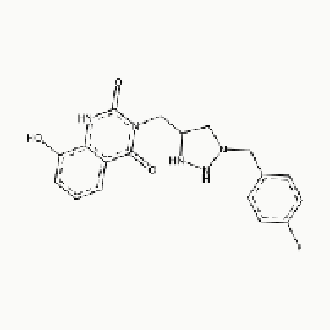 O=c1[nH]c2c(O)cccc2c(=O)n1CC1CN(Cc2ccc(F)cc2)NN1